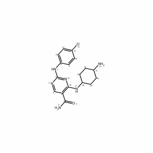 NC(=O)c1cnc(Nc2ccc(Cl)cc2)nc1NC1CCC(N)CC1